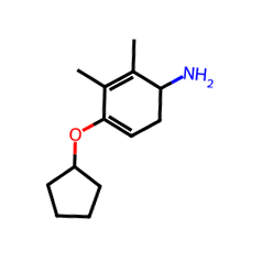 CC1=C(C)C(N)CC=C1OC1CCCC1